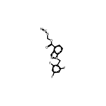 [N-]=[N+]=NCOC(=O)c1cccc2c1cnn2Cc1c(F)cc(F)cc1F